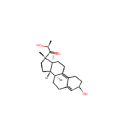 C[C@H](O)C(=O)[C@@]1(C)CC[C@H]2[C@@H]3CCC4=CC(O)CCC4=C3CC[C@@]21C